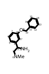 CNCC(N)c1cccc(OCc2ccccc2)c1